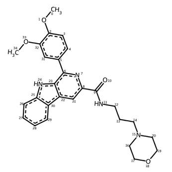 COc1ccc(-c2nc(C(=O)NCCCN3CCOCC3)cc3c2[nH]c2ccccc23)cc1OC